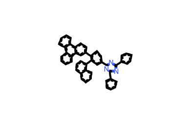 c1ccc(-c2nc(-c3ccccc3)nc(-c3ccc(-c4ccc5c6ccccc6c6ccccc6c5c4)c(-c4cccc5ccccc45)c3)n2)cc1